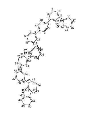 c1cc(-c2ccc(-c3cccc4c3sc3ccccc34)cc2)cc(-c2ncnc3c2oc2ccc(-c4cccc(-c5cccc6c5sc5ccccc56)c4)cc23)c1